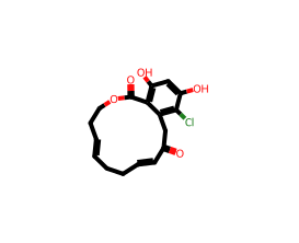 O=C1/C=C/CC/C=C/CCOC(=O)c2c(O)cc(O)c(Cl)c2C1